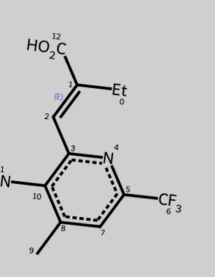 CC/C(=C\c1nc(C(F)(F)F)cc(C)c1N)C(=O)O